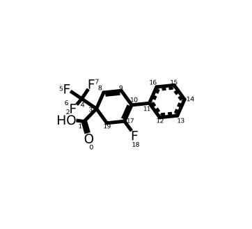 O=C(O)C1(C(F)(F)F)C=CC(c2ccccc2)=C(F)C1